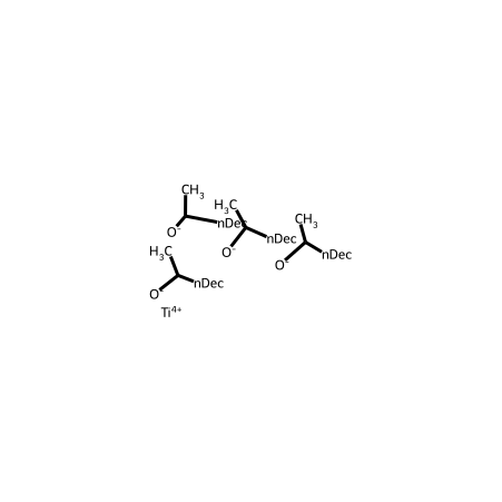 CCCCCCCCCCC(C)[O-].CCCCCCCCCCC(C)[O-].CCCCCCCCCCC(C)[O-].CCCCCCCCCCC(C)[O-].[Ti+4]